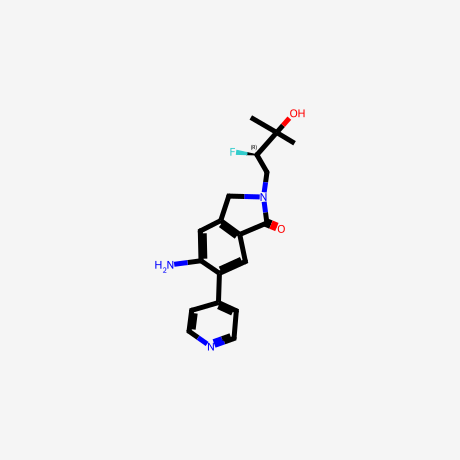 CC(C)(O)[C@H](F)CN1Cc2cc(N)c(-c3ccncc3)cc2C1=O